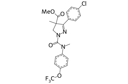 COC(=O)C1(C)CN(C(=O)N(C)c2ccc(OC(F)(F)F)cc2)N=C1c1ccc(Cl)cc1